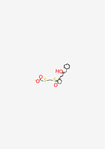 COC(=O)CSCCCS[C@H]1C(=O)CC[C@@H]1C=C[C@@H](O)Cc1ccccc1